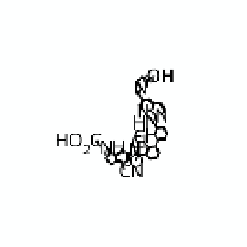 N#Cc1c2c(cc3nc(-c4cccc(-c5cccc(Nc6nccc7cc(CN8CC[C@@H](O)C8)cnc67)c5Cl)c4Cl)oc13)[C@H](NCC(=O)O)CC2